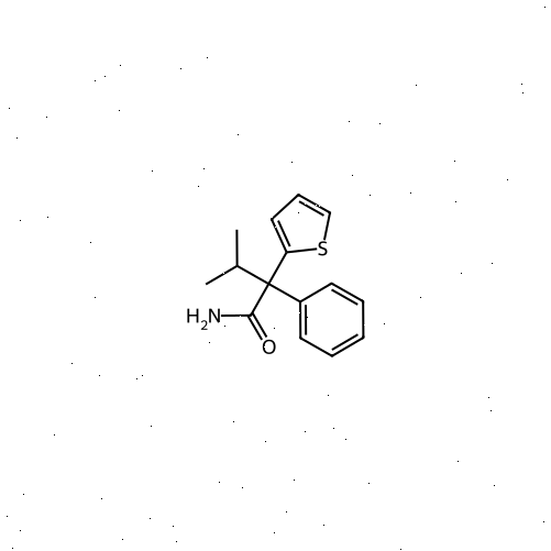 CC(C)C(C(N)=O)(c1ccccc1)c1cccs1